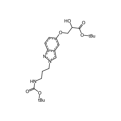 CC(C)(C)OC(=O)NCCCn1cc2cc(OCC(O)C(=O)OC(C)(C)C)ccc2n1